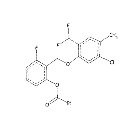 CCC(=O)Oc1cccc(F)c1COc1cc(Cl)c(C)cc1C(F)F